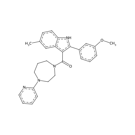 COc1cccc(-c2[nH]c3ccc(C)cc3c2C(=O)N2CCCN(c3ccccn3)CC2)c1